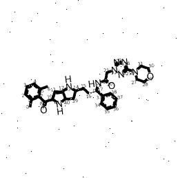 Cc1cccc(C)c1C(=O)C1C=C2NC(CC[C@H](NC(=O)Cn3nnc(N4CCOCC4)n3)c3ccccc3)CC2N1